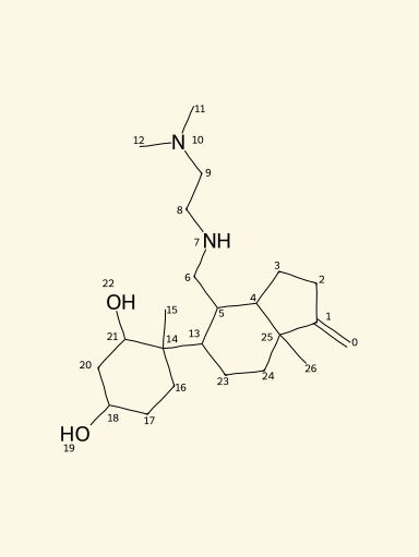 C=C1CCC2C(CNCCN(C)C)C(C3(C)CCC(O)CC3O)CCC12C